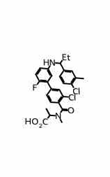 CCC(Nc1ccc(F)c(-c2ccc(C(=O)N(C)C(C)C(=O)O)c(Cl)c2)c1)c1ccc(Cl)c(C)c1